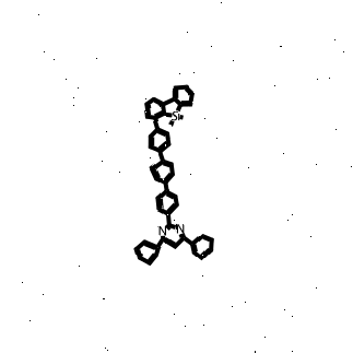 C[Si]1(C)c2ccccc2-c2cccc(-c3ccc(-c4ccc(-c5ccc(-c6nc(-c7ccccc7)cc(-c7ccccc7)n6)cc5)cc4)cc3)c21